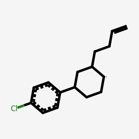 C=CCCC1[CH]CCC(c2ccc(Cl)cc2)C1